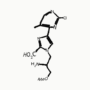 COCC(N)Cn1cc(-c2nc(Cl)ncc2C)nc1C(=O)O